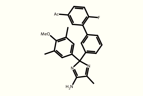 COc1c(C)cc(C2(c3cccc(-c4cc(C(C)=O)ccc4F)c3)N=C(C)C(N)=N2)cc1C